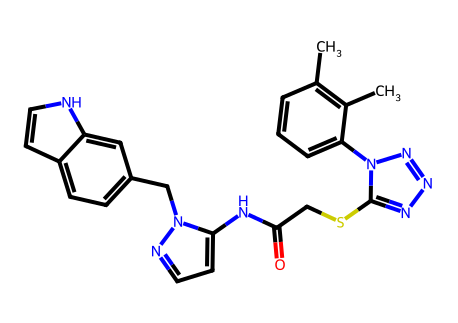 Cc1cccc(-n2nnnc2SCC(=O)Nc2ccnn2Cc2ccc3cc[nH]c3c2)c1C